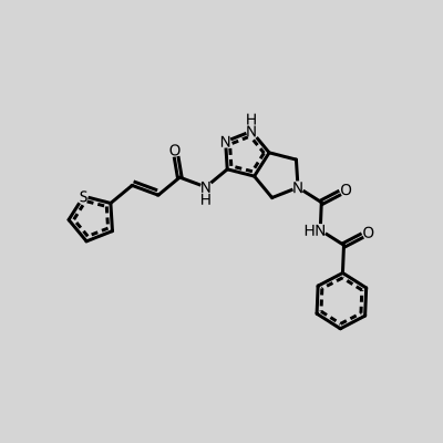 O=C(C=Cc1cccs1)Nc1n[nH]c2c1CN(C(=O)NC(=O)c1ccccc1)C2